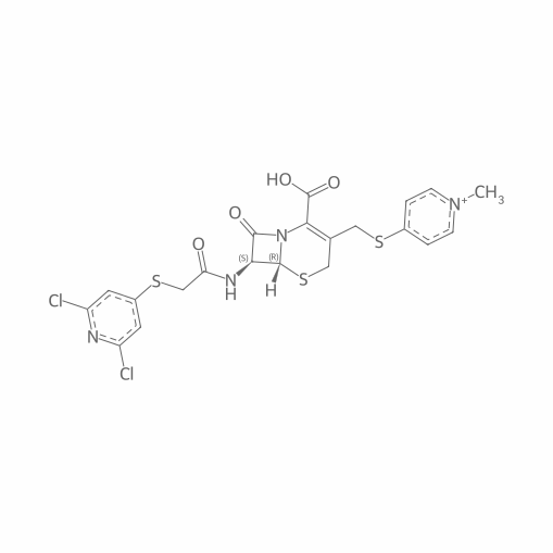 C[n+]1ccc(SCC2=C(C(=O)O)N3C(=O)[C@H](NC(=O)CSc4cc(Cl)nc(Cl)c4)[C@H]3SC2)cc1